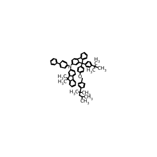 CC(C)CC(C)(C)c1ccc(COc2ccc(C3(c4ccc(C(C)(C)C)cc4)c4ccccc4-c4ccc(N(c5ccc(-c6ccccc6)cc5)c5ccc6c(c5)C(C)(C)c5ccccc5-6)cc43)cc2)cc1